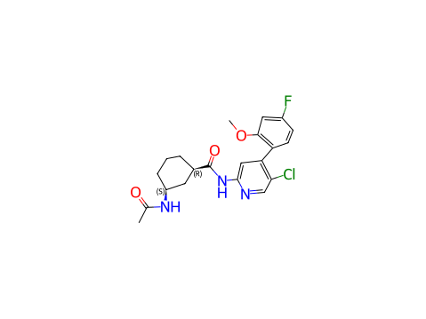 COc1cc(F)ccc1-c1cc(NC(=O)[C@@H]2CCC[C@H](NC(C)=O)C2)ncc1Cl